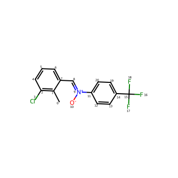 Cc1c(Cl)cccc1C=[N+]([O-])c1ccc(C(F)(F)F)cc1